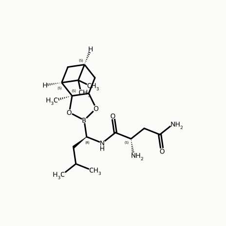 CC(C)C[C@H](NC(=O)[C@@H](N)CC(N)=O)B1OC2C[C@@H]3C[C@@H](C3(C)C)[C@]2(C)O1